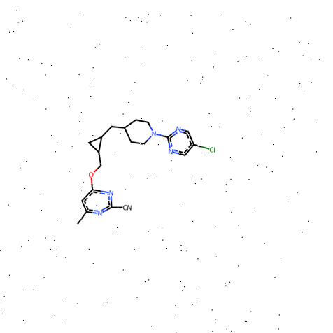 Cc1cc(OCC2CC2CC2CCN(c3ncc(Cl)cn3)CC2)nc(C#N)n1